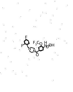 O=C(c1ccc(NOO)c(OC(F)(F)F)c1)N1CCN(Cc2ccc(F)cc2F)CC1